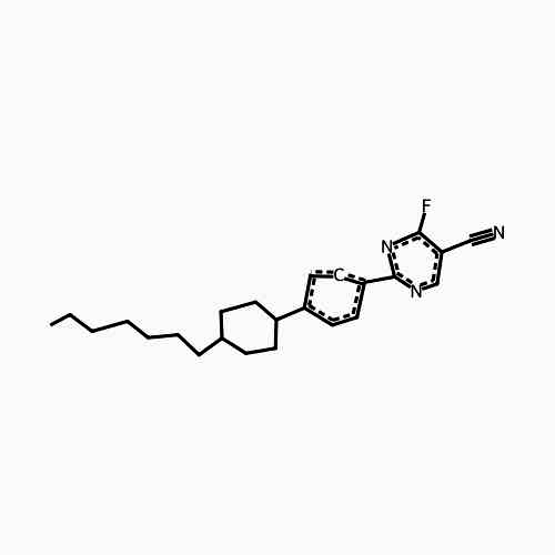 CCCCCCCC1CCC(c2ccc(-c3ncc(C#N)c(F)n3)cc2)CC1